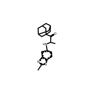 Cc1nc2cc(NC(C)C(=O)C34CC5CC(CC(C5)C3)C4)ccc2s1